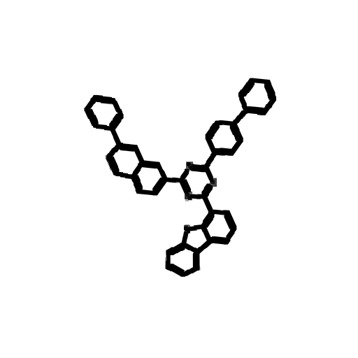 c1ccc(-c2ccc(-c3nc(-c4ccc5ccc(-c6ccccc6)cc5c4)nc(-c4cccc5c4sc4ccccc45)n3)cc2)cc1